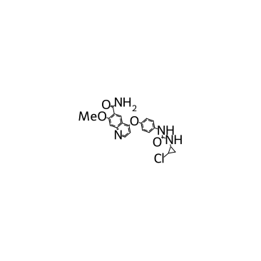 COc1cc2nccc(Oc3ccc(NC(=O)NC4CC4Cl)cc3)c2cc1C(N)=O